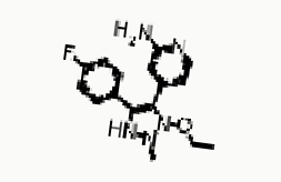 CCON1C(c2ccnc(N)c2)=C(c2ccc(F)cc2)NN1C